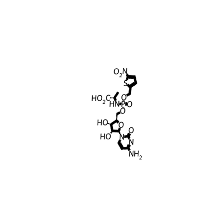 C[C@H](NP(=O)(OCc1ccc([N+](=O)[O-])s1)OC[C@H]1O[C@@H](n2ccc(N)nc2=O)[C@@H](O)[C@@H]1O)C(=O)O